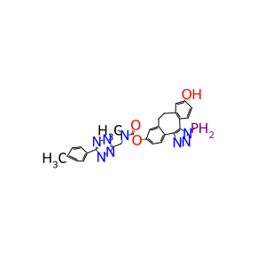 Cc1ccc(-c2nnc(CN(C)C(=O)Oc3ccc4c(c3)CCc3cc(O)ccc3-c3c-4nnn3P)nn2)cc1